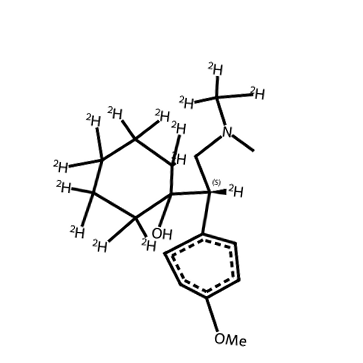 [2H]C([2H])([2H])N(C)C[C@]([2H])(c1ccc(OC)cc1)C1(O)C([2H])([2H])C([2H])([2H])C([2H])([2H])C([2H])([2H])C1([2H])[2H]